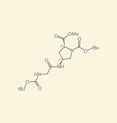 COC(=O)[C@@H]1C[C@H](NC(=O)CNC(=O)OC(C)(C)C)CN1C(=O)OC(C)(C)C